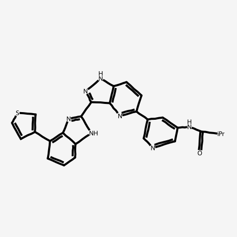 CC(C)C(=O)Nc1cncc(-c2ccc3[nH]nc(-c4nc5c(-c6ccsc6)cccc5[nH]4)c3n2)c1